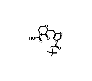 CC(C)(C)OC(=O)n1cnc(C[C@@H]2OCCN(C(=O)O)C2=O)c1